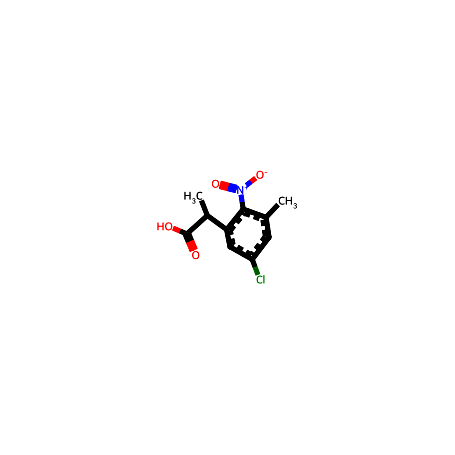 Cc1cc(Cl)cc(C(C)C(=O)O)c1[N+](=O)[O-]